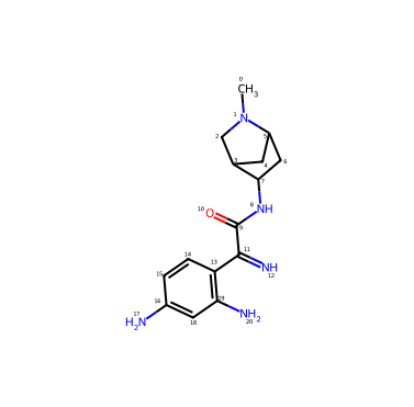 CN1CC2CC1CC2NC(=O)C(=N)c1ccc(N)cc1N